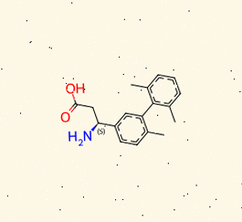 Cc1ccc([C@@H](N)CC(=O)O)cc1-c1c(C)cccc1C